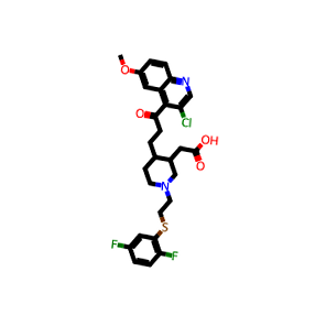 COc1ccc2ncc(Cl)c(C(=O)CCC3CCN(CCSc4cc(F)ccc4F)CC3CC(=O)O)c2c1